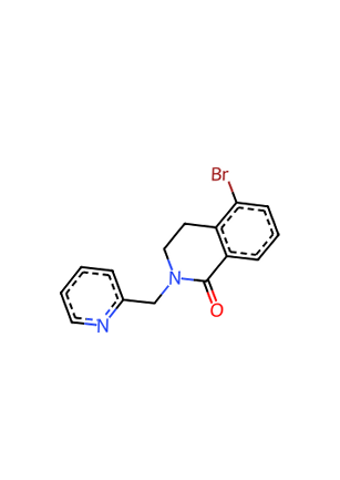 O=C1c2cccc(Br)c2CCN1Cc1ccccn1